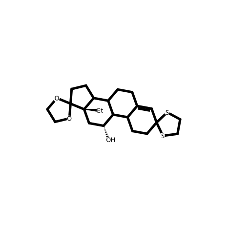 CC[C@]12C[C@@H](O)C3C4CCC5(C=C4CCC3C1CCC21OCCO1)SCCS5